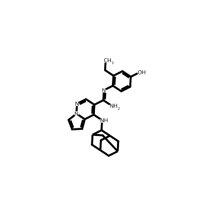 CCc1cc(O)ccc1/N=C(\N)c1cnn2cccc2c1NC1C2CC3CC(C2)CC1C3